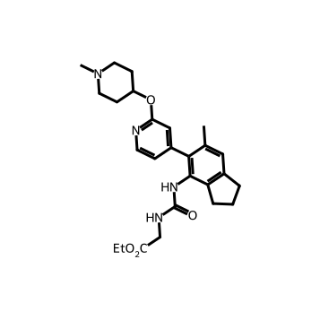 CCOC(=O)CNC(=O)Nc1c2c(cc(C)c1-c1ccnc(OC3CCN(C)CC3)c1)CCC2